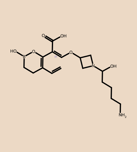 C=CC1=C(/C(=C/OC2CN(C(O)CCCCN)C2)C(=O)O)OB(O)CC1